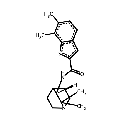 Cc1ccc2cc(C(=O)N[C@H]3C4CCN(CC4)C3(C)C)sc2c1C